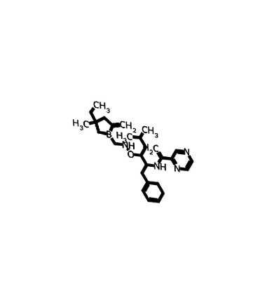 C=C1CC(C)(CC)CB1CNOC(CC(C)C)C(CC1=CC=CCC1)NC(=C)c1cnccn1